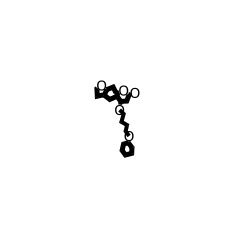 O=c1cc(OCCCCOc2ccccc2)c2cc3ccoc3cc2o1